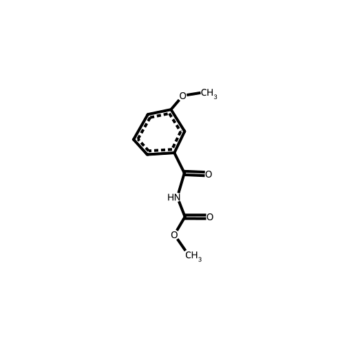 COC(=O)NC(=O)c1cccc(OC)c1